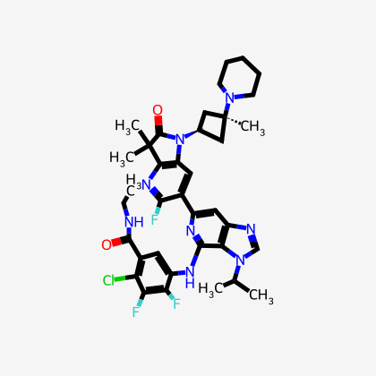 CCNC(=O)c1cc(Nc2nc(-c3cc4c(nc3F)C(C)(C)C(=O)N4[C@H]3C[C@@](C)(N4CCCCC4)C3)cc3ncn(C(C)C)c23)c(F)c(F)c1Cl